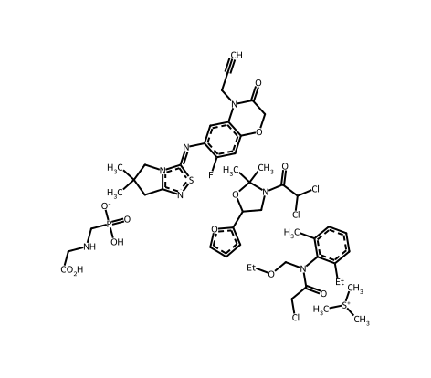 C#CCN1C(=O)COc2cc(F)c(/N=c3\snc4n3CC(C)(C)C4)cc21.CC1(C)OC(c2ccco2)CN1C(=O)C(Cl)Cl.CCOCN(C(=O)CCl)c1c(C)cccc1CC.C[S+](C)C.O=C(O)CNCP(=O)([O-])O